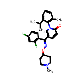 Cc1cccc(C(C)C)c1-n1cc(C(=NOC2CCN(C)CC2)c2ccc(F)cc2F)ccc1=O